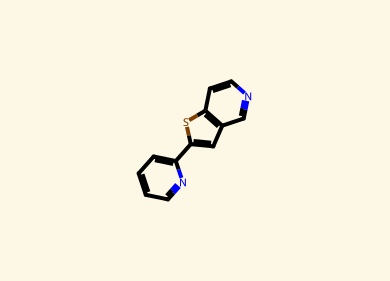 c1ccc(-c2cc3cnccc3s2)nc1